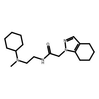 CN(CCNC(=O)Cn1ncc2c1CCCC2)C1CCCCC1